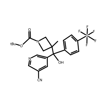 CC(C)(C)OC(=O)N1CC(C)(C(O)(c2ccc(S(F)(F)(F)(F)F)cc2)c2cncc(C#N)c2)C1